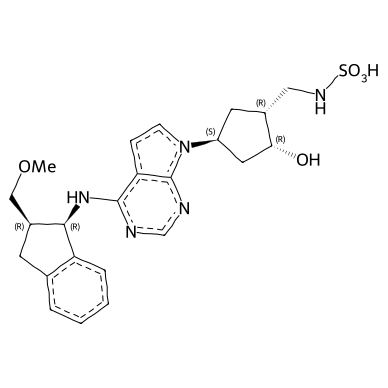 COC[C@@H]1Cc2ccccc2[C@@H]1Nc1ncnc2c1ccn2[C@H]1C[C@H](CNS(=O)(=O)O)[C@H](O)C1